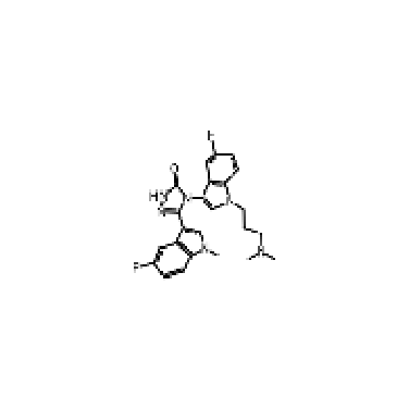 CN(C)CCCn1cc(-n2c(-c3cn(C)c4ccc(F)cc34)n[nH]c2=O)c2cc(F)ccc21